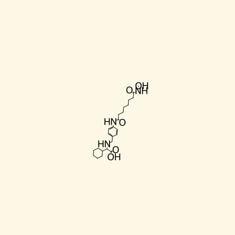 O=C(CCCCCCC(=O)Nc1ccc(CNC(C(=O)O)C2CCCCC2)cc1)NO